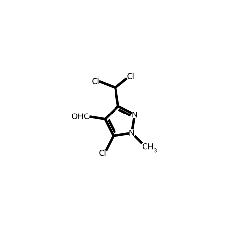 Cn1nc(C(Cl)Cl)c(C=O)c1Cl